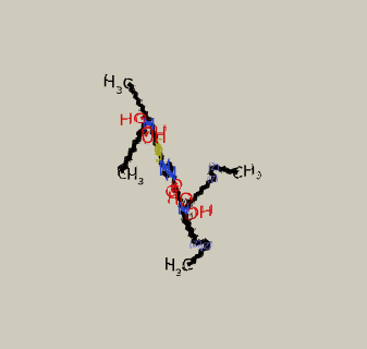 CCCCC/C=C\C/C=C\CCCCCC[C@@H](O)CN(CCCCC(=O)OCCN1CCN(CCSSCCCCN(CC(O)CCCCCCCCCC)CC(O)CCCCCCCCCC)CC1)C[C@H](O)CCCCCC/C=C\C/C=C\CCCCC